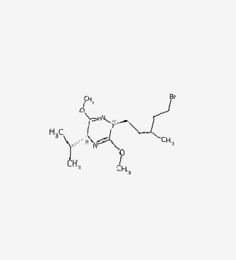 COC1=N[C@H](C(C)C)C(OC)=N[C@H]1CCC(C)CCBr